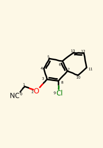 N#CCOc1ccc2c(c1Cl)CCC=C2